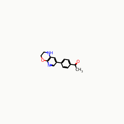 CC(=O)c1ccc(-c2cnc3c(c2)NCCO3)cc1